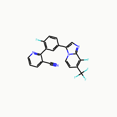 N#Cc1cccnc1-c1cc(-c2cnc3c(F)c(C(F)(F)F)ccn23)ccc1F